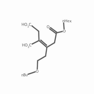 CCCCCCOC(=O)CC(CCOCCCC)=C(CC(=O)O)C(=O)O